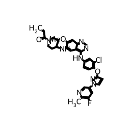 C=CC(=O)N1CCC(Nc2cc3c(Nc4ccc(Oc5ccn(-c6cnc(C)c(F)c6)n5)c(Cl)c4)ncnc3cc2OC)CC1